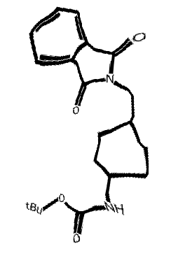 CC(C)(C)OC(=O)NC1CCC(CN2C(=O)c3ccccc3C2=O)CC1